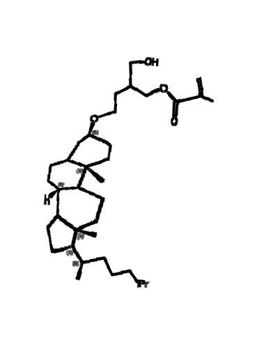 C=C(C)C(=O)OCC(CO)CCO[C@H]1CC[C@@]2(C)C(CC[C@@H]3C2CC[C@@]2(C)C3CC[C@@H]2[C@H](C)CCCC(C)C)C1